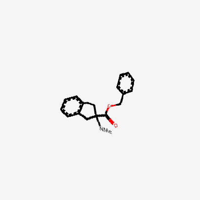 CNC1(C(=O)OCc2ccccc2)Cc2ccccc2C1